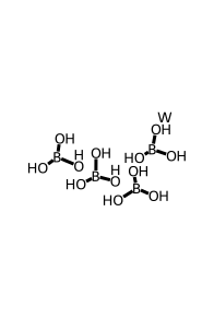 OB(O)O.OB(O)O.OB(O)O.OB(O)O.[W]